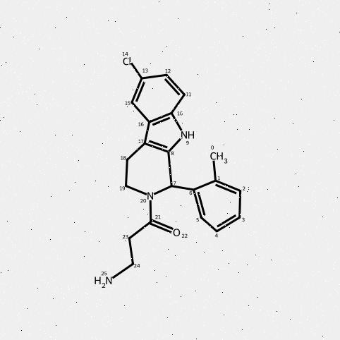 Cc1ccccc1C1c2[nH]c3ccc(Cl)cc3c2CCN1C(=O)CCN